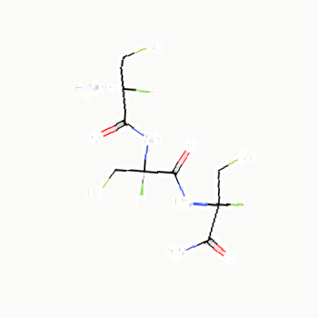 NC(=O)C(F)(CS)NC(=O)[C@](F)(CS)NC(=O)[C@](N)(F)CS